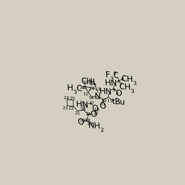 CC(C)(C)C(NC(=O)NC(C)(C)C(F)(F)F)C(=O)N1C[C@H]2C([C@H]1C(=O)NC(CC1CCC1)C(=O)C(N)=O)C2(C)C